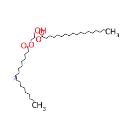 CCCCCCCC/C=C\CCCCCCCC(=O)OCC(CO)OC(=O)CCCCCCCCCCCCCCCCC